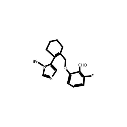 CC(C)n1cncc1C1=C(COc2cccc(F)c2C=O)CCCC1